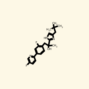 CC(C)(C)Cc1c[nH]c(C(C)(O)Cc2ccc(-c3ccc(F)cn3)cc2F)n1